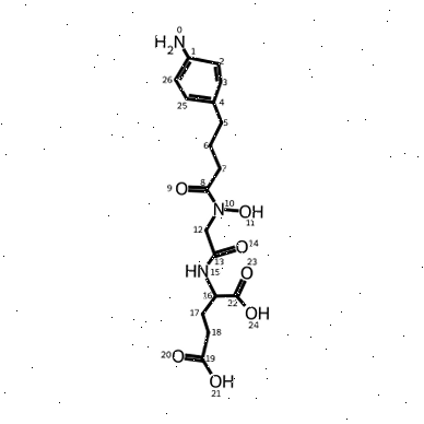 Nc1ccc(CCCC(=O)N(O)CC(=O)NC(CCC(=O)O)C(=O)O)cc1